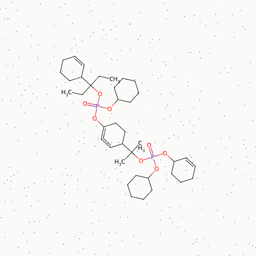 CCC(CC)(OP(=O)(OC1=C=CC(C(C)(C)OP(=O)(OC2C=CCCC2)OC2CCCCC2)CC1)OC1CCCCC1)C1C=CCCC1